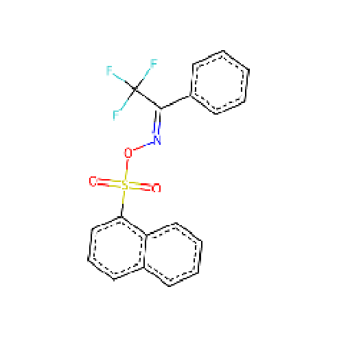 O=S(=O)(ON=C(c1ccccc1)C(F)(F)F)c1cccc2ccccc12